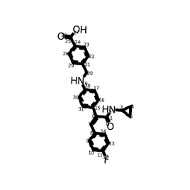 O=C(NC1CC1)C(=Cc1ccc(F)cc1)c1ccc(NCc2ccc(C(=O)O)cc2)cc1